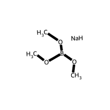 COB(OC)OC.[NaH]